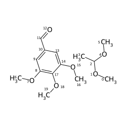 COC(C)OC.COc1cc(C=O)cc(OC)c1OC